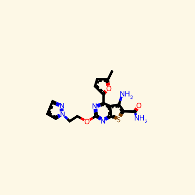 Cc1ccc(-c2nc(OCCn3cccn3)nc3sc(C(N)=O)c(N)c23)o1